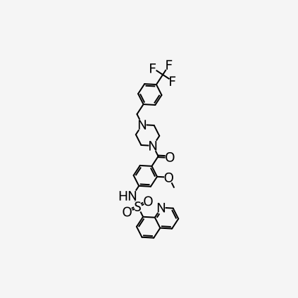 COc1cc(NS(=O)(=O)c2cccc3cccnc23)ccc1C(=O)N1CCN(Cc2ccc(C(F)(F)F)cc2)CC1